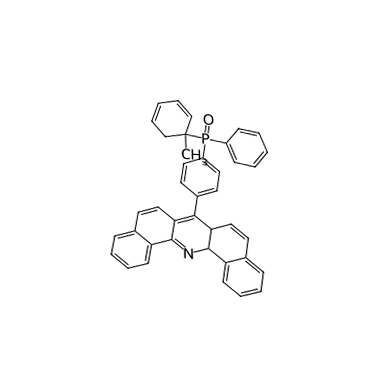 CC1(P(=O)(c2ccccc2)c2ccc(C3=c4ccc5ccccc5c4=NC4c5ccccc5C=CC34)cc2)C=CC=CC1